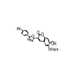 CCCCCCc1cc2cc(-c3nnc(-c4ccc(Br)cc4)o3)c(=O)oc2cc1O